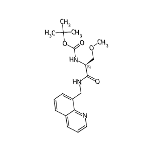 COC[C@H](NC(=O)OC(C)(C)C)C(=O)NCc1cccc2cccnc12